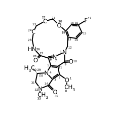 COc1c2n(c3c4nn(c(=O)c13)Cc1ccc(F)cc1OCCCCCNC4=O)[C@@H](C)CN(C)C2=O